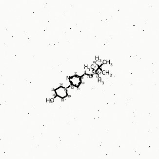 CC(C)(C)[Si](C)(C)OCc1ccc(N2CCC(O)CC2)nc1